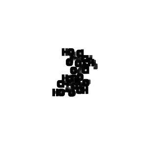 CC(Cl)(OC(C)(Cl)C(=O)OC(C)(OC(C)(Cl)C(=O)O)C(=O)O)C(=O)O